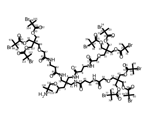 CC(CC(CNC(=O)CCNC(=O)COCC(COC(=O)C(C)(C)Br)(COC(=O)C(C)(C)Br)COC(=O)C(C)(C)Br)(CNC(=O)CCNC(=O)COCC(COC(=O)C(C)(C)Br)(COC(=O)C(C)(C)Br)COC(=O)C(C)(C)Br)CNC(=O)CCNC(=O)COCC(COC(=O)C(C)(C)Br)(COC(=O)C(C)(C)Br)COC(=O)C(C)(C)Br)OCC(C)(C)N